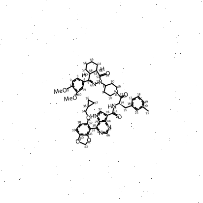 COc1ccc(C2=NN(C3CCN(C(=O)[C@@H](Cc4cccc(C)c4)NC(=O)c4c[nH]c5c(-c6c(OCC7CC7)ccc7c6OCO7)ncnc45)CC3)C(=O)[C@@H]3CCCC[C@H]23)cc1OC